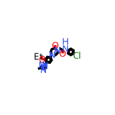 CCOc1cc(N2CCC(=O)N(CC(=O)Nc3ccc(Cl)cc3)CC2)ccc1-n1cnc(C)n1